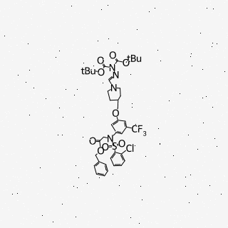 CC(C)(C)OC(=O)N(N=CN1CCC(COc2cc(N(CC(=O)OCc3ccccc3)S(=O)(=O)c3ccccc3Cl)cc(C(F)(F)F)c2)CC1)C(=O)OC(C)(C)C